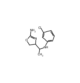 CC(Nc1cccc(Cl)c1)C1COC(N)=N1